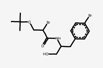 CC(C)(C)OCC(Br)C(=O)NC(CO)Cc1ccc(Br)cc1